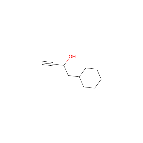 C#CC(O)CC1CCCCC1